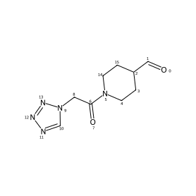 O=CC1CCN(C(=O)Cn2cnnn2)CC1